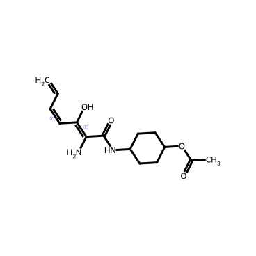 C=C/C=C\C(O)=C(/N)C(=O)NC1CCC(OC(C)=O)CC1